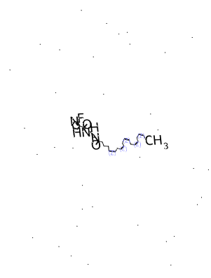 CC/C=C\C/C=C\C/C=C\C/C=C\C/C=C\CCCC(=O)NCCNC(=O)c1cccnc1F